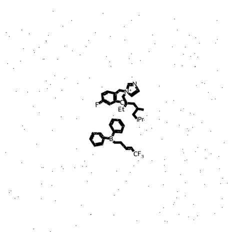 CCC(CC(C)CC(C)C)C[N+]1(Cc2ccc(F)cc2Cl)C=CN=C1.FC(F)(F)C=CCCB(c1ccccc1)c1ccccc1